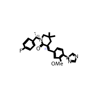 COc1cc(/C=C2\CC(C)(C)CN([C@@H](C)c3ccc(F)cc3)C2=O)ccc1-n1cncn1